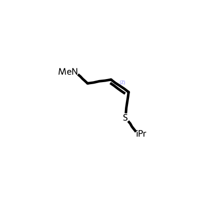 CNC/C=C\SC(C)C